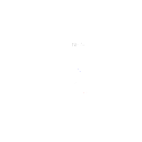 CC(=O)NC1=NC(=O)C(C)=C=C1